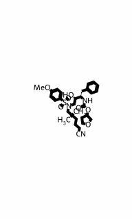 COc1ccc(S(=O)(=O)N(C[C@@H](O)[C@H](Cc2ccccc2)NC(=O)OC2CCOC2)CC(C)(C)CCCC#N)cc1